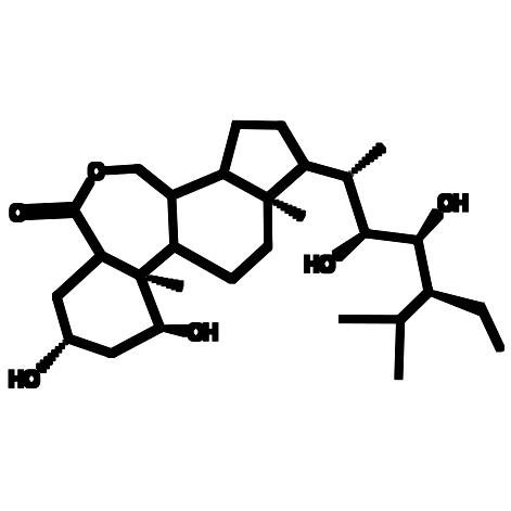 CC[C@@H](C(C)C)[C@H](O)[C@@H](O)[C@@H](C)C1CCC2C3COC(=O)C4C[C@@H](O)C[C@H](O)[C@]4(C)C3CC[C@@]21C